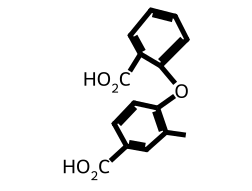 Cc1cc(C(=O)O)ccc1Oc1ccccc1C(=O)O